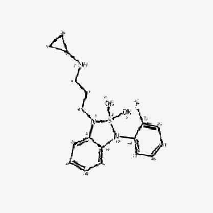 OS1(O)N(CCCNC2CC2)c2ccccc2N1c1ccccc1F